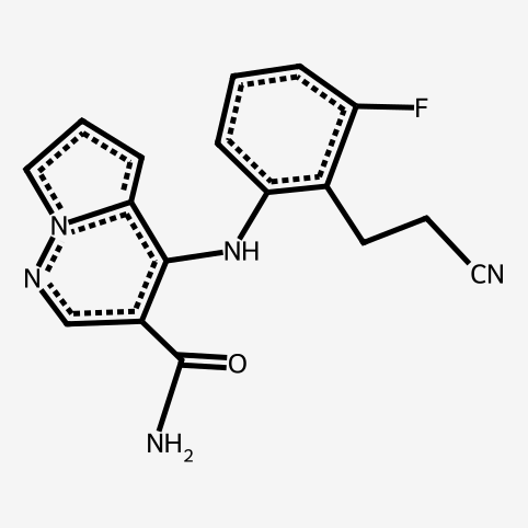 N#CCCc1c(F)cccc1Nc1c(C(N)=O)cnn2cccc12